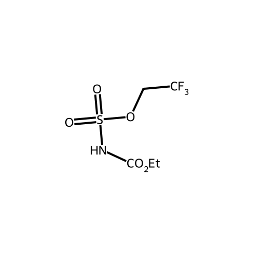 CCOC(=O)NS(=O)(=O)OCC(F)(F)F